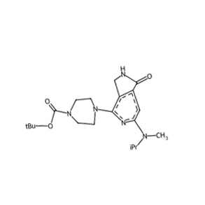 CC(C)N(C)c1cc2c(c(N3CCN(C(=O)OC(C)(C)C)CC3)n1)CNC2=O